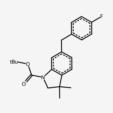 CC(C)(C)OC(=O)N1CC(C)(C)c2ccc(Cc3ccc(F)cc3)cc21